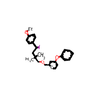 CCOc1ccc(C(I)CC(C)(C)COCc2cccc(Oc3ccccc3)c2)cc1